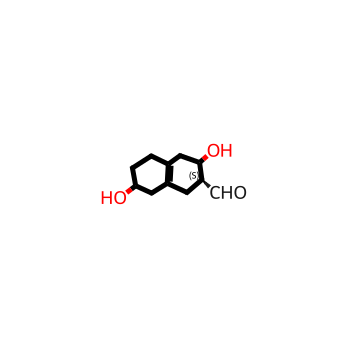 O=C[C@H]1CC2=C(CCC(O)C2)CC1O